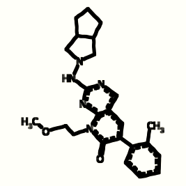 COCCn1c(=O)c(-c2ccccc2C)cc2cnc(NN3CC4CCCC4C3)nc21